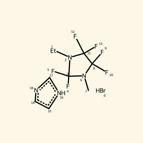 Br.CCN1C(F)(F)N(C)C(F)(F)C1(F)F.c1c[nH]cn1